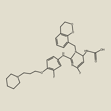 O=C(O)NC1C=C(F)N=C(Nc2ccc(OCCCN3CCCCC3)c(F)c2)N1Cc1cccc2c1OOCC2